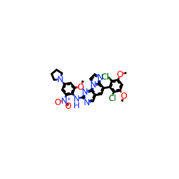 COc1cc(OC)c(Cl)c(-c2cc3cnc(Nc4c(OC)cc(N5CCCC5)cc4[N+](=O)[O-])nc3n3ccnc23)c1Cl